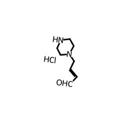 Cl.O=CC=CCN1CCNCC1